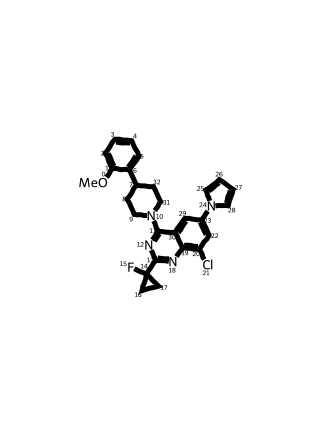 COc1ccccc1C1CCN(c2nc(C3(F)CC3)nc3c(Cl)cc(-n4cccc4)cc23)CC1